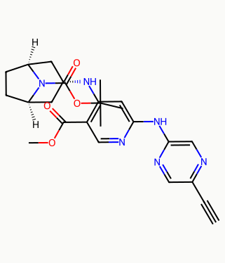 C#Cc1cnc(Nc2cc(N[C@@H]3C[C@H]4CC[C@@H](C3)N4C(=O)OC(C)(C)C)c(C(=O)OC)cn2)cn1